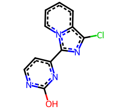 Oc1nccc(-c2nc(Cl)c3ccccn23)n1